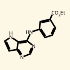 CCOC(=O)c1cccc(Nc2ncnc3cc[nH]c23)c1